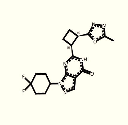 Cc1nnc([C@@H]2CC[C@@H]2c2nc3c(cnn3C3CCC(F)(F)CC3)c(=O)[nH]2)o1